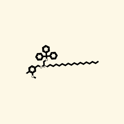 [CH2]c1ccc(CO[C@H](CCCCCCCCCCCCCCCCCC)COC(c2ccccc2)(c2ccccc2)c2ccccc2)cc1OC